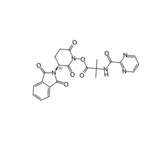 CC(C)(NC(=O)c1ncccn1)C(=O)ON1C(=O)CC[C@H](N2C(=O)c3ccccc3C2=O)C1=O